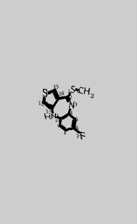 CSC1=Nc2cc(F)ccc2Nc2cscc21